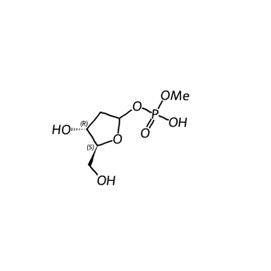 COP(=O)(O)OC1C[C@@H](O)[C@H](CO)O1